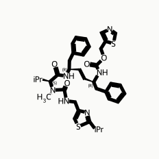 CC(C)c1nc(CNC(=O)N(C)[C@H](C(=O)N[C@H](CC[C@H](Cc2ccccc2)NC(=O)OCc2cncs2)Cc2ccccc2)C(C)C)cs1